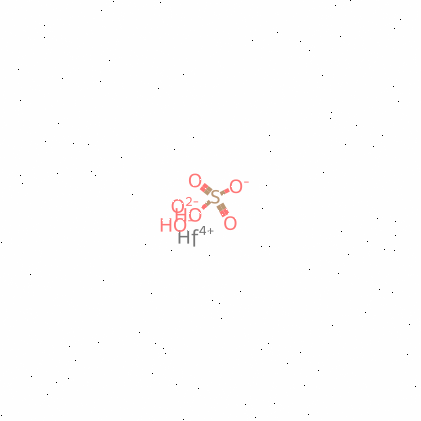 O=S(=O)([O-])O.[Hf+4].[O-2].[OH-]